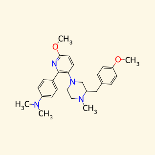 COc1ccc(CC2CN(c3ccc(OC)nc3-c3ccc(N(C)C)cc3)CCN2C)cc1